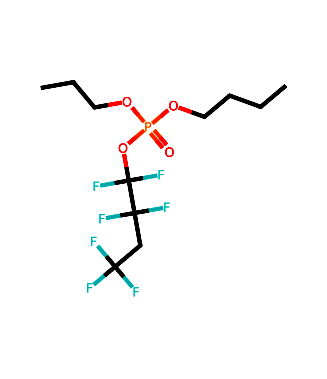 CCCCOP(=O)(OCCC)OC(F)(F)C(F)(F)CC(F)(F)F